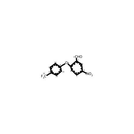 O=Cc1cc([N+](=O)[O-])ccc1Oc1ccc(C(F)(F)F)cc1